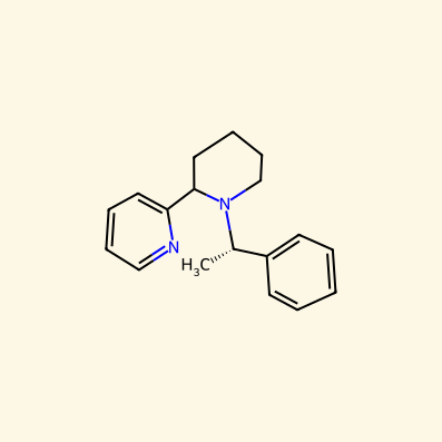 C[C@@H](c1ccccc1)N1CCCCC1c1ccccn1